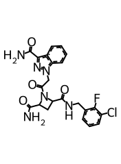 NC(=O)c1nn(CC(=O)N2C(C(N)=O)CC2C(=O)NCc2cccc(Cl)c2F)c2ccccc12